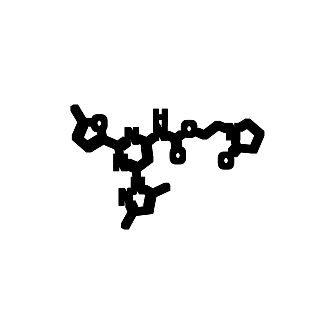 Cc1cc(C)n(-c2cc(NC(=O)OCCN3CCCC3=O)nc(-c3ccc(C)o3)n2)n1